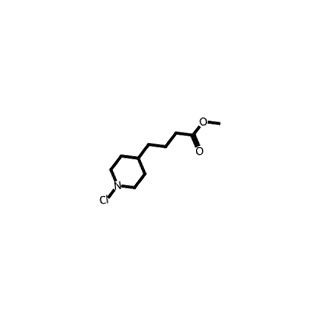 COC(=O)CCCC1CCN(Cl)CC1